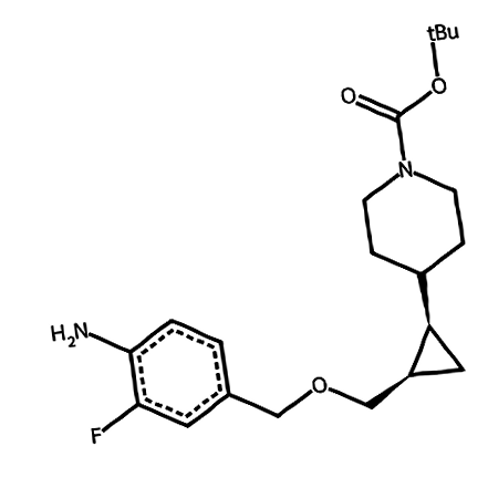 CC(C)(C)OC(=O)N1CCC([C@H]2C[C@H]2COCc2ccc(N)c(F)c2)CC1